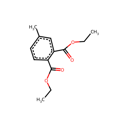 CCOC(=O)c1ccc(C)cc1C(=O)OCC